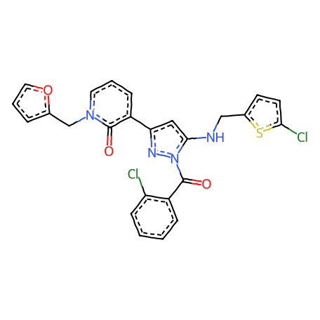 O=C(c1ccccc1Cl)n1nc(-c2cccn(Cc3ccco3)c2=O)cc1NCc1ccc(Cl)s1